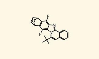 CC(C)(C)c1cc2ccccc2c2nc3c(F)c4c(c(F)c3n12)C1CCC4O1